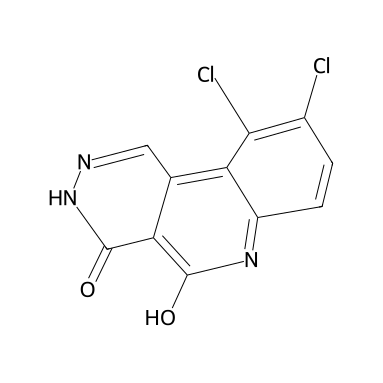 O=c1[nH]ncc2c1c(O)nc1ccc(Cl)c(Cl)c12